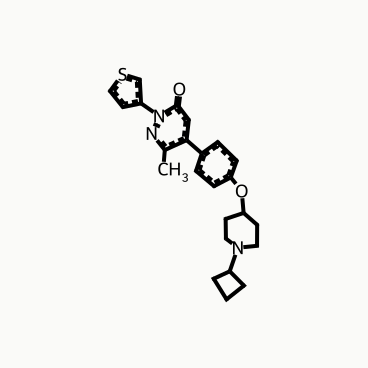 Cc1nn(-c2ccsc2)c(=O)cc1-c1ccc(OC2CCN(C3CCC3)CC2)cc1